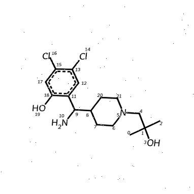 CC(C)(O)CN1CCC(C(N)c2cc(Cl)c(Cl)cc2O)CC1